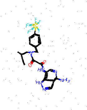 CC(C)CN(Cc1ccc(S(F)(F)(F)(F)F)cc1)C(=O)C(=O)Nc1cnc(N)c2cn[nH]c12